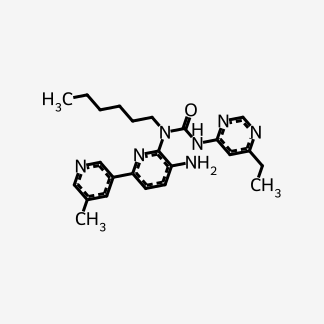 CCCCCCN(C(=O)Nc1cc(CC)ncn1)c1nc(-c2cncc(C)c2)ccc1N